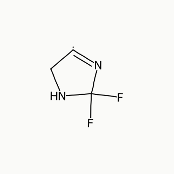 FC1(F)N=[C]CN1